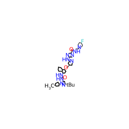 Cc1ccc(-n2nc(C(C)(C)C)cc2NC(=O)Nc2ccc(OCc3ccnc(Nc4cnc(C(=O)NCCN5CCC(F)CC5)cn4)c3)c3ccccc23)cc1